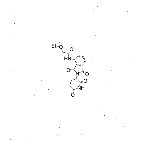 CCOCC(=O)Nc1cccc2c1C(=O)N(C1CCC(=O)NC1=O)C2=O